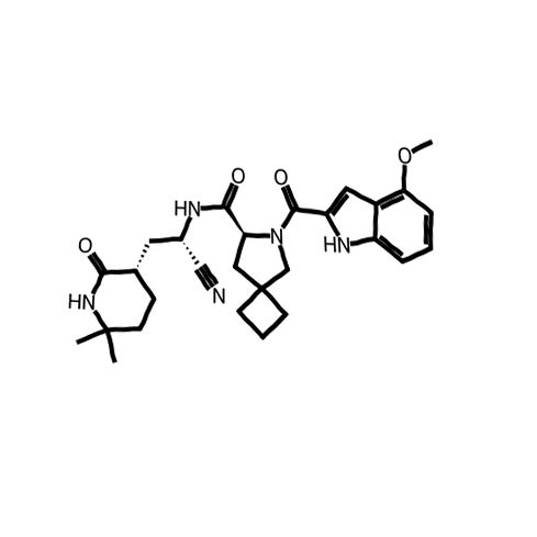 COc1cccc2[nH]c(C(=O)N3CC4(CCC4)C[C@H]3C(=O)N[C@H](C#N)C[C@@H]3CCC(C)(C)NC3=O)cc12